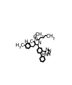 CCCCC1N=C(c2ccc(-c3ccccc3)c(-c3nnn[nH]3)c2)C(Cc2ccc(C)cc2)=C(C)N1OC